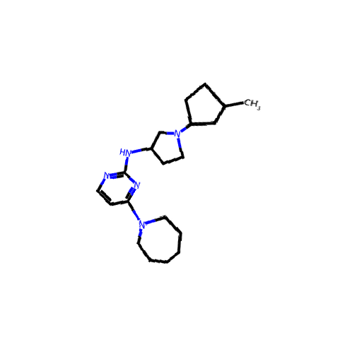 CC1CCC(N2CCC(Nc3nccc(N4CCCCCC4)n3)C2)C1